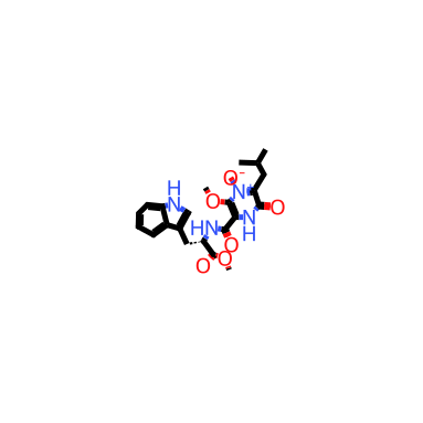 COC(=O)[C@H](Cc1c[nH]c2ccccc12)NC(=O)c1[nH]c(=O)c(CC(C)C)[n+]([O-])c1OC